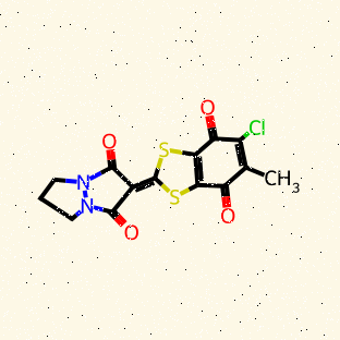 CC1=C(Cl)C(=O)C2=C(SC(=C3C(=O)N4CCCN4C3=O)S2)C1=O